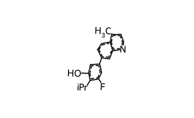 Cc1ccnc2cc(-c3cc(O)c(C(C)C)c(F)c3)ccc12